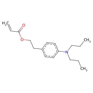 C=CC(=O)OCCc1ccc(N(CCC)CCC)cc1